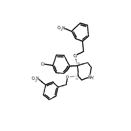 O=[N+]([O-])c1cccc(CO[C@H]2CNCC[C@]2(OCc2cccc([N+](=O)[O-])c2)c2ccc(Cl)cc2)c1